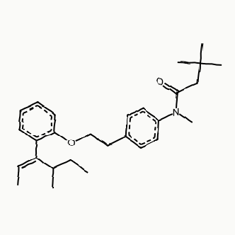 C/C=C(/c1ccccc1OCCc1ccc(N(C)C(=O)CC(C)(C)C)cc1)C(C)CC